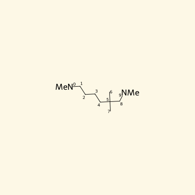 CNCCCCC(C)(C)CNC